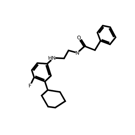 O=C(Cc1ccccc1)[N]CCNc1ccc(F)c(C2CCCCC2)c1